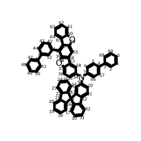 c1ccc(-c2ccc(N(c3ccc4c(c3)C3(c5ccccc5-c5ccccc53)c3ccccc3-4)c3ccc4oc5c(-c6cccc(-c7ccccc7)c6)c6c(cc5c4c3)oc3ccccc36)cc2)cc1